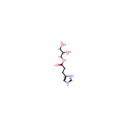 O=C(CCc1cnc[nH]1)OCC(O)CO